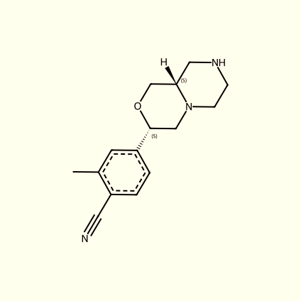 Cc1cc([C@H]2CN3CCNC[C@H]3CO2)ccc1C#N